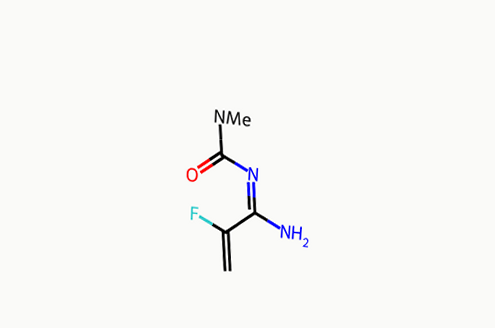 C=C(F)/C(N)=N\C(=O)NC